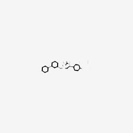 Oc1ccc(-c2cn(Cc3cccc(-c4ccccc4)c3)nn2)cc1O